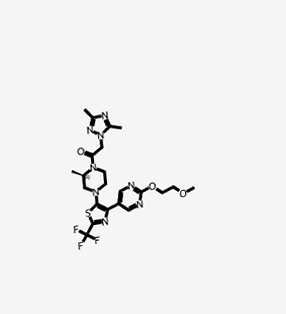 COCCOc1ncc(-c2nc(C(F)(F)F)sc2N2CCN(C(=O)Cn3nc(C)nc3C)[C@H](C)C2)cn1